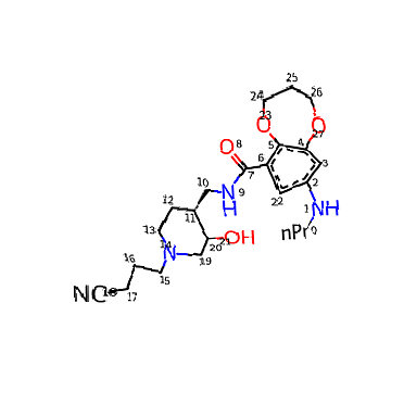 CCCNc1cc2c(c(C(=O)NC[C@@H]3CCN(CCCC#N)CC3O)c1)OCCCO2